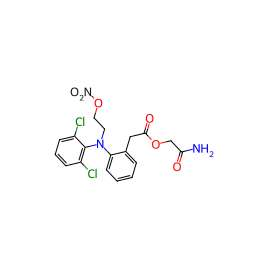 NC(=O)COC(=O)Cc1ccccc1N(CCO[N+](=O)[O-])c1c(Cl)cccc1Cl